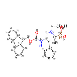 CC(C)[C@@H](N(CC(=O)O)C[C@H](Cc1ccccc1)NC(=O)OCC1c2ccccc2-c2ccccc21)[SH](=O)=O